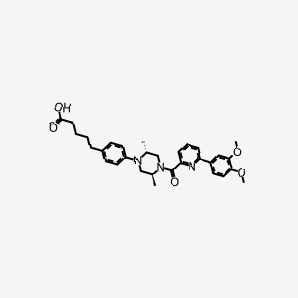 COc1ccc(-c2cccc(C(=O)N3C[C@@H](C)N(c4ccc(CCCCC(=O)O)cc4)C[C@@H]3C)n2)cc1OC